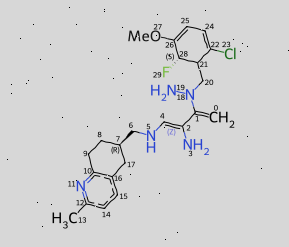 C=C(/C(N)=C/NC[C@@H]1CCc2nc(C)ccc2C1)N(N)CC1C(Cl)=CC=C(OC)[C@H]1F